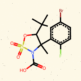 CC(C)(C)C1OS(=O)(=O)N(C(=O)O)C1(C)c1cc(Br)ccc1F